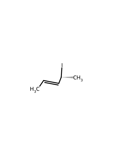 C/C=C/[C@@H](C)I